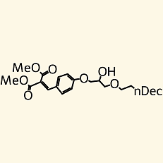 CCCCCCCCCCCCOCC(O)COc1ccc(C=C(C(=O)OC)C(=O)OC)cc1